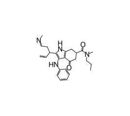 C=CC(C/C=N\C)c1[nH]c2c(c1Nc1ccccc1)C(=O)CC(C(=O)N(C)CCC)C2